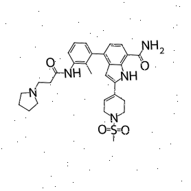 Cc1c(NC(=O)CCN2CCCC2)cccc1-c1ccc(C(N)=O)c2[nH]c(C3=CCN(S(C)(=O)=O)CC3)cc12